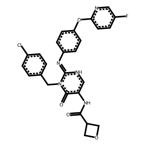 O=C(Nc1c[nH]/c(=N\c2ccc(Oc3ccc(F)cn3)cc2)n(Cc2ccc(Cl)cc2)c1=O)C1COC1